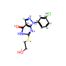 O=c1[nH]c(SCCO)nc2c1cnn2-c1cccc(Cl)c1